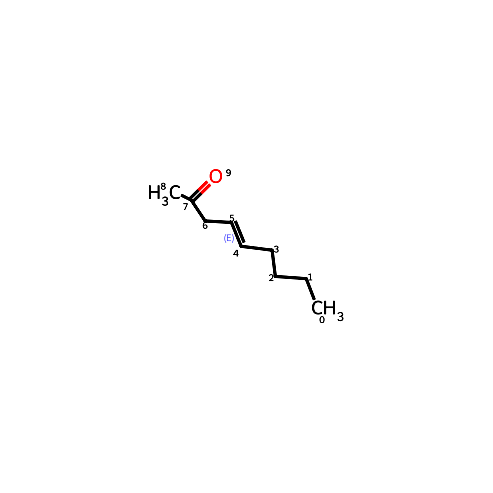 CCCC/C=C/CC(C)=O